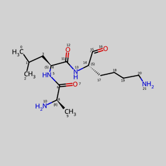 CC(C)C[C@H](NC(=O)[C@@H](C)N)C(=O)N[C@H]([C]=O)CCCCN